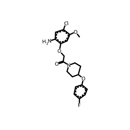 COc1cc(OCC(=O)N2CCC(Oc3ccc(F)cc3)CC2)c(N)cc1Cl